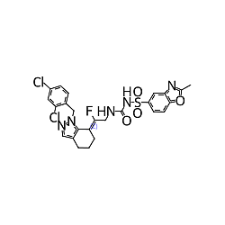 Cc1nc2cc(S(=O)(=O)NC(=O)NC/C(F)=C3\CCCc4cnn(Cc5ccc(Cl)cc5Cl)c43)ccc2o1